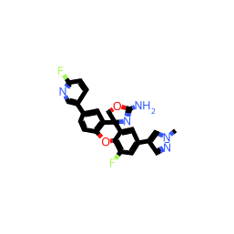 Cn1cc(-c2cc(F)c3c(c2)C2(COC(N)=N2)c2cc(-c4ccc(F)nc4)ccc2O3)cn1